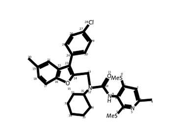 CSc1cc(C)nc(SC)c1NC(=O)N(Cc1oc2ccc(C)cc2c1-c1ccc(Cl)cc1)C1CCCCC1